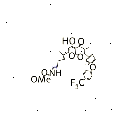 COC(=O)N/C=C/CCC(C)c1cc(O)c(C(=O)C(C)Cc2ccc(Oc3ccc(C(F)(F)F)cc3)s2)c(=O)o1